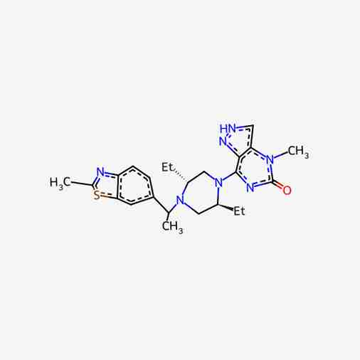 CC[C@H]1CN(C(C)c2ccc3nc(C)sc3c2)[C@H](CC)CN1c1nc(=O)n(C)c2c[nH]nc12